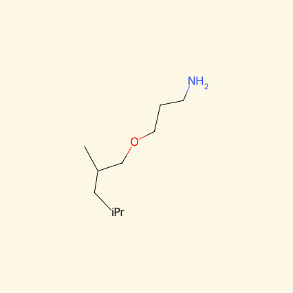 CC(C)CC(C)COCCCN